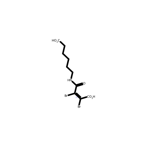 O=C(O)CCCCCNC(=O)/C(Br)=C(/Br)C(=O)O